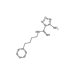 N=C(NCCCCc1ccccc1)c1nonc1N